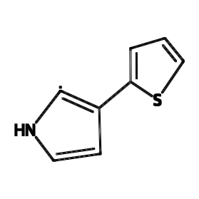 [c]1[nH]ccc1-c1cccs1